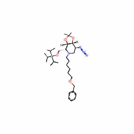 CC(C)[Si](OC[C@@H]1[C@@H]2OC(C)(C)O[C@@H]2[C@@H](N=[N+]=[N-])CN1CCCCCCOCc1ccccc1)(C(C)C)C(C)C